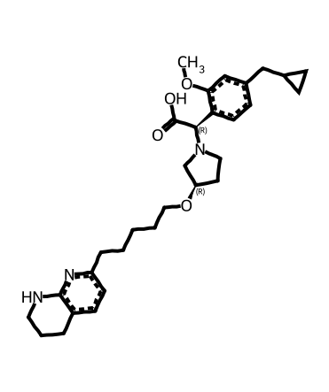 COc1cc(CC2CC2)ccc1[C@H](C(=O)O)N1CC[C@@H](OCCCCCc2ccc3c(n2)NCCC3)C1